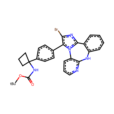 CC(C)(C)OC(=O)NC1(c2ccc(-c3c(Br)nc4n3-c3cccnc3Nc3ccccc3-4)cc2)CCC1